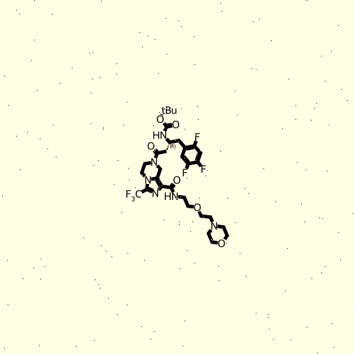 CC(C)(C)OC(=O)N[C@@H](CC(=O)N1CCn2c(C(F)(F)F)nc(C(=O)NCCOCCN3CCOCC3)c2C1)Cc1cc(F)c(F)cc1F